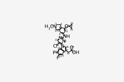 CN1CCc2c(cc(Nc3ncc(Cl)c(-n4cc(CC(=O)O)c5cc(F)c(F)cc54)n3)cc2OC2CC2)C1